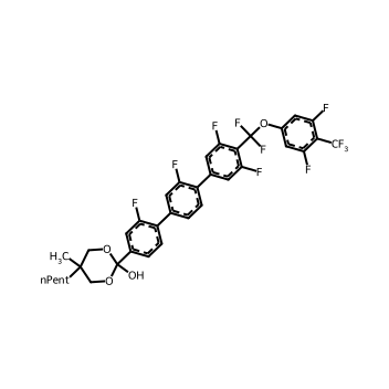 CCCCCC1(C)COC(O)(c2ccc(-c3ccc(-c4cc(F)c(C(F)(F)Oc5cc(F)c(C(F)(F)F)c(F)c5)c(F)c4)c(F)c3)c(F)c2)OC1